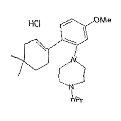 CCCN1CCN(c2cc(OC)ccc2C2=CCC(C)(C)CC2)CC1.Cl